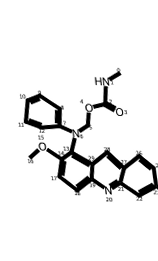 CNC(=O)OCN(c1ccccc1)c1c(OC)ccc2nc3cc(C)ccc3cc12